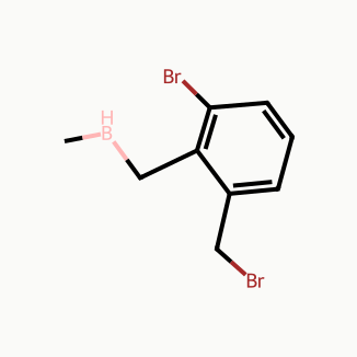 CBCc1c(Br)cccc1CBr